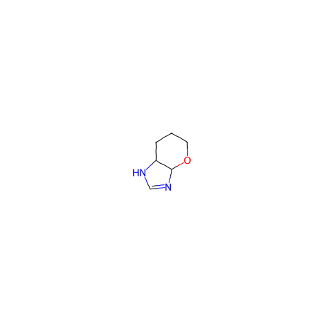 C1=NC2OCCCC2N1